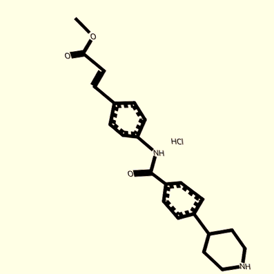 COC(=O)C=Cc1ccc(NC(=O)c2ccc(C3CCNCC3)cc2)cc1.Cl